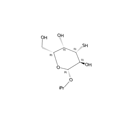 CC(C)O[C@@H]1O[C@H](CO)[C@H](O)[C@H](S)[C@H]1O